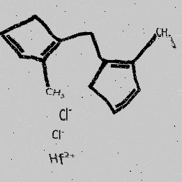 CC1=C(CC2=C(C)C=CC2)CC=C1.[Cl-].[Cl-].[Hf+2]